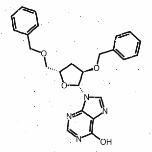 Oc1ncnc2c1ncn2[C@@H]1O[C@H](COCc2ccccc2)C[C@H]1OCc1ccccc1